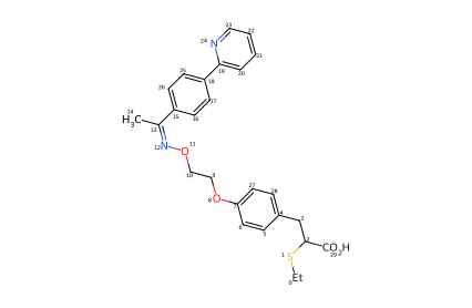 CCSC(Cc1ccc(OCCON=C(C)c2ccc(-c3ccccn3)cc2)cc1)C(=O)O